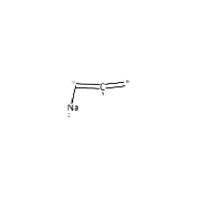 C=C=[CH][Na]